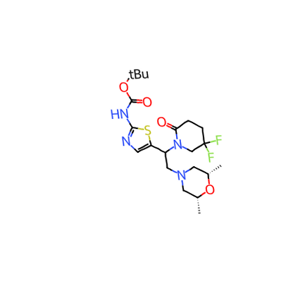 C[C@@H]1CN(CC(c2cnc(NC(=O)OC(C)(C)C)s2)N2CC(F)(F)CCC2=O)C[C@H](C)O1